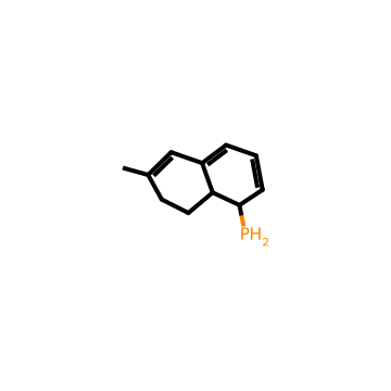 CC1=CC2=CC=CC(P)C2CC1